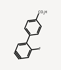 O=C(O)c1ccc(-c2cc#ccc2F)cc1